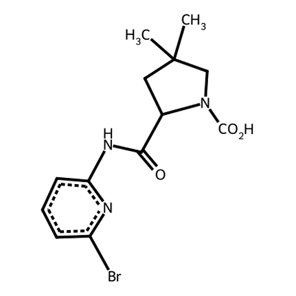 CC1(C)CC(C(=O)Nc2cccc(Br)n2)N(C(=O)O)C1